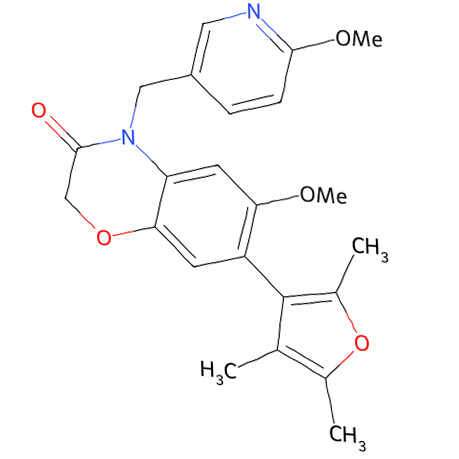 COc1ccc(CN2C(=O)COc3cc(-c4c(C)oc(C)c4C)c(OC)cc32)cn1